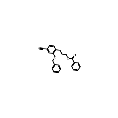 N#Cc1ccc(CCCOC(=O)c2ccccc2)c(OCc2ccccc2)c1